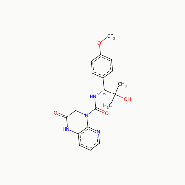 CC(C)(O)[C@H](NC(=O)N1CC(=O)Nc2cccnc21)c1ccc(OC(F)(F)F)cc1